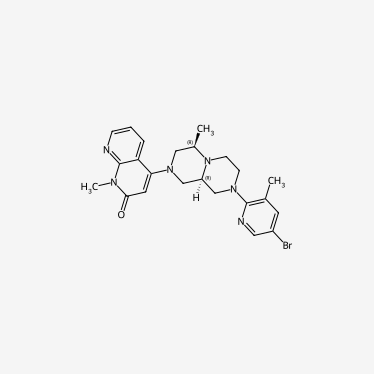 Cc1cc(Br)cnc1N1CCN2[C@@H](C1)CN(c1cc(=O)n(C)c3ncccc13)C[C@H]2C